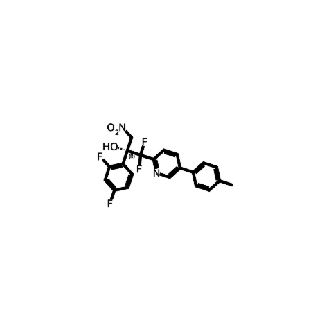 Cc1ccc(-c2ccc(C(F)(F)[C@](O)(C[N+](=O)[O-])c3ccc(F)cc3F)nc2)cc1